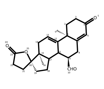 C[C@]12CCC(=O)C=C1C[C@@H](C=O)C1C2=CC[C@@]2(C)C1CC[C@@]21CCC(=O)O1